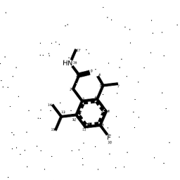 C=C(Cc1c(C(C)C)cc(F)cc1C(C)C)NC